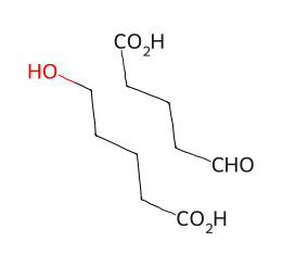 O=C(O)CCCCO.O=CCCCC(=O)O